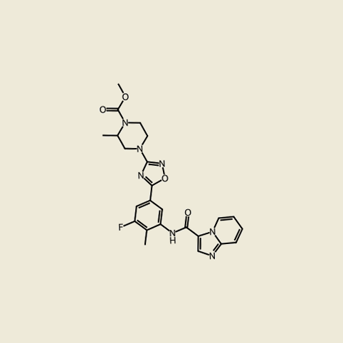 COC(=O)N1CCN(c2noc(-c3cc(F)c(C)c(NC(=O)c4cnc5ccccn45)c3)n2)CC1C